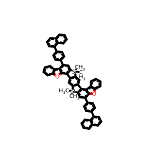 C[Si]1(C)c2cc3c(cc2-c2c1cc(-c1ccc(-c4cccc5ccccc45)cc1)c1c2oc2ccccc21)[Si](C)(C)c1cc(-c2ccc(-c4cccc5ccccc45)cc2)c2oc4ccccc4c2c1-3